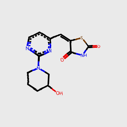 O=C1NC(=O)/C(=C\c2ccnc(N3CCCC(O)C3)n2)S1